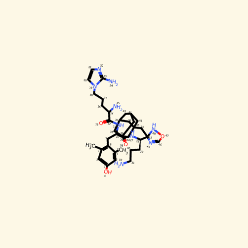 Cc1cc(O)cc(C)c1CC(NC(=O)C(N)CCCn1ccnc1N)C(=O)N[C@H](CCCN)C1(CC23CC4CC(CC(C4)C2)C3)N=CON1